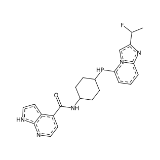 CC(F)c1cn2c(PC3CCC(NC(=O)c4ccnc5[nH]ccc45)CC3)cccc2n1